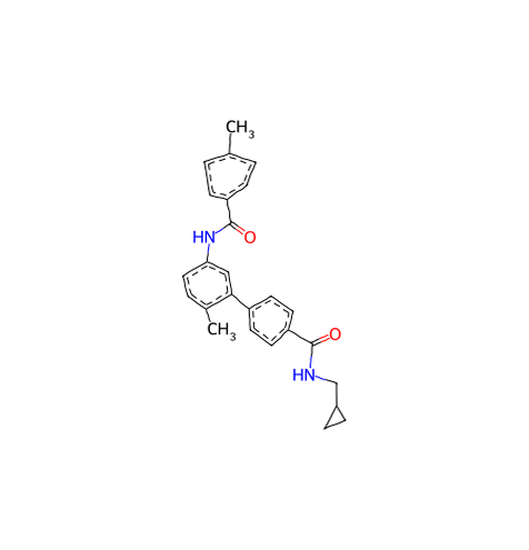 Cc1ccc(C(=O)Nc2ccc(C)c(-c3ccc(C(=O)NCC4CC4)cc3)c2)cc1